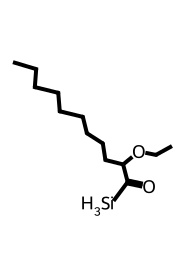 CCCCCCCCCC(OCC)C(=O)[SiH3]